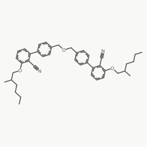 CCCCC(C)COc1cccc(-c2ccc(COCc3ccc(-c4cccc(OCC(C)CCCC)c4C#N)cc3)cc2)c1C#N